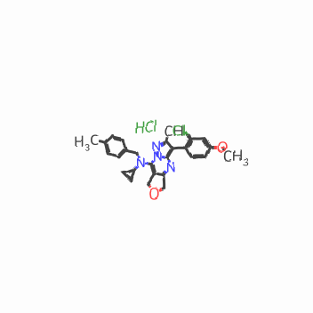 COc1ccc(-c2c(C)nn3c(N(Cc4ccc(C)cc4)C4CC4)c4c(nc23)COC4)c(Cl)c1.Cl